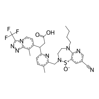 CCCCN1CCN(Cc2nc(C(CC(=O)O)c3ccn4c(C(F)(F)F)nnc4c3C)ccc2C)[S+]([O-])c2cc(C#N)cnc21